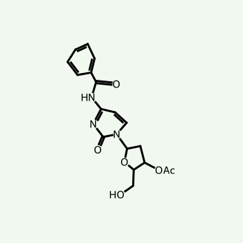 CC(=O)OC1CC(n2ccc(NC(=O)c3ccccc3)nc2=O)OC1CO